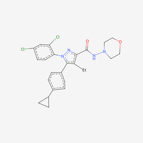 CCc1c(C(=O)NN2CCOCC2)nn(-c2ccc(Cl)cc2Cl)c1-c1ccc(C2CC2)cc1